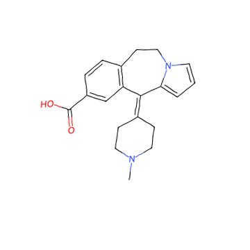 CN1CCC(=C2c3cc(C(=O)O)ccc3CCn3cccc32)CC1